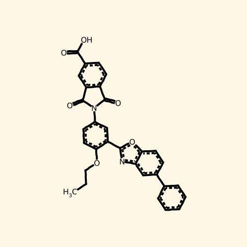 CCCOc1ccc(N2C(=O)c3ccc(C(=O)O)cc3C2=O)cc1-c1nc2cc(-c3ccccc3)ccc2o1